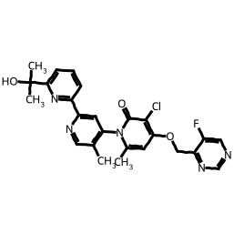 Cc1cnc(-c2cccc(C(C)(C)O)n2)cc1-n1c(C)cc(OCc2ncncc2F)c(Cl)c1=O